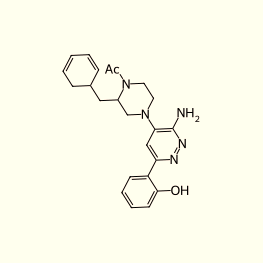 CC(=O)N1CCN(c2cc(-c3ccccc3O)nnc2N)CC1CC1C=CC=CC1